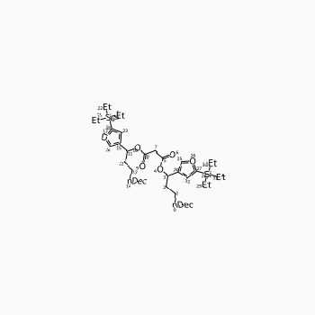 CCCCCCCCCCCCC(OC(=O)CC(=O)OC(CCCCCCCCCCCC)c1coc([Si](CC)(CC)CC)c1)c1coc([Si](CC)(CC)CC)c1